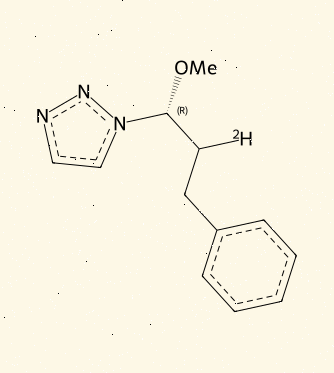 [2H]C(Cc1ccccc1)[C@@H](OC)n1ccnn1